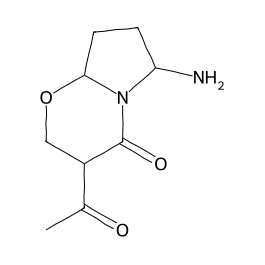 CC(=O)C1COC2CCC(N)N2C1=O